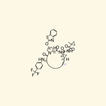 CC1(S(=O)(=O)NC(=O)[C@@]23C[C@H]2/C=C\CCCCC[C@H](Nc2ccc(C(F)(F)F)cc2)C(=O)N2C[C@H](Oc4nc5ccccc5s4)C[C@H]2C(=O)N3)CC1